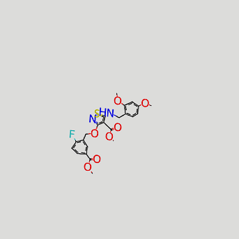 COC(=O)c1ccc(F)c(COc2nsc(NCc3ccc(OC)cc3OC)c2C(=O)OC)c1